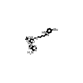 CC1(C)O[C@@H]2[C@H](O1)[C@@H](CSCCCCc1nc3cc(C(C)(C)C)ccc3[nH]1)O[C@H]2n1cnc2c(N)ncnc21